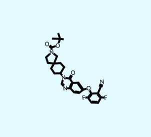 CC(C)(C)OC(=O)N1CCC2(CCC(n3cnc4ccc(Oc5c(F)ccc(F)c5C#N)cc4c3=O)CC2)C1